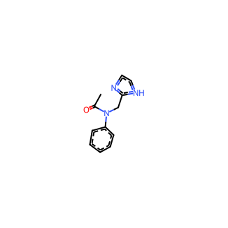 CC(=O)N(Cc1ncc[nH]1)c1ccccc1